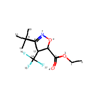 CCOC(=O)C1ON=C(C(C)(C)C)C1C(F)(F)F